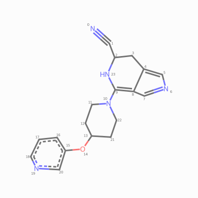 N#CC1CC2=CN=CC2=C(N2CCC(Oc3cccnc3)CC2)N1